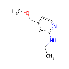 CCNc1cc(COC)ccn1